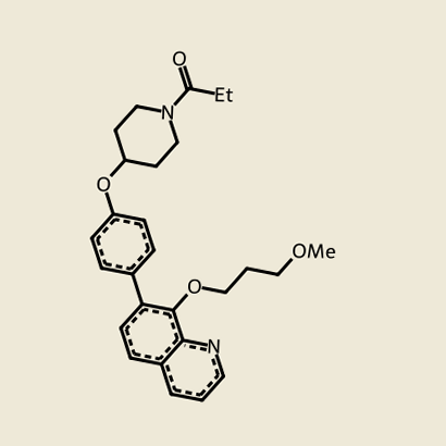 CCC(=O)N1CCC(Oc2ccc(-c3ccc4cccnc4c3OCCCOC)cc2)CC1